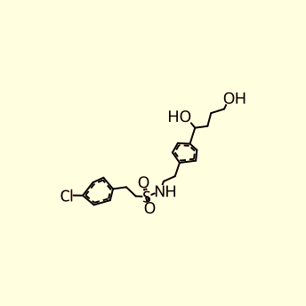 O=S(=O)(CCc1ccc(Cl)cc1)NCCc1ccc(C(O)CCCO)cc1